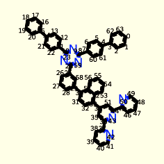 c1ccc(-c2ccc(-c3nc(-c4ccc(-c5ccccc5)cc4)nc(-c4cccc(-c5ccc(-c6cc(-c7ccccn7)nc(-c7ccccn7)c6)c6ccccc56)c4)n3)cc2)cc1